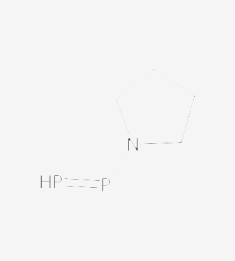 P=PN1CCCC1